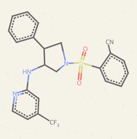 N#Cc1ccccc1S(=O)(=O)N1CC(Nc2cc(C(F)(F)F)ccn2)C(c2ccccc2)C1